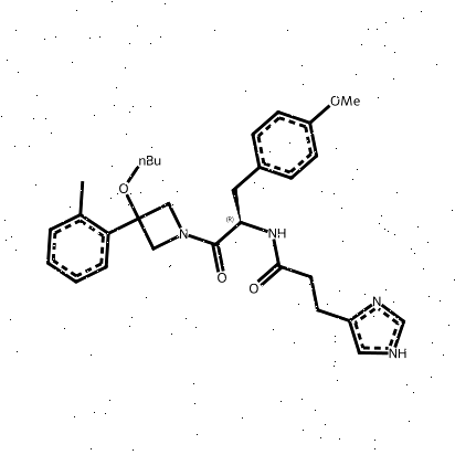 CCCCOC1(c2ccccc2C)CN(C(=O)[C@@H](Cc2ccc(OC)cc2)NC(=O)CCc2c[nH]cn2)C1